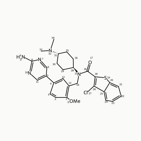 COc1ccc(-c2cnc(N)nc2)cc1CN(C(=O)c1sc2ccccc2c1Cl)[C@H]1CC[C@H](N(C)C)CC1